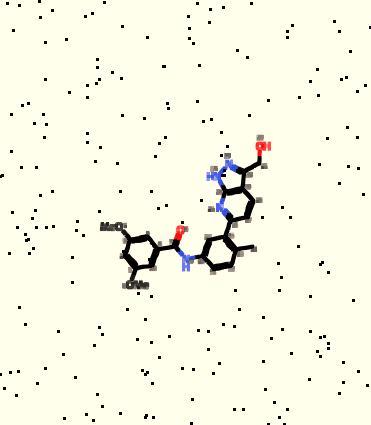 COc1cc(OC)cc(C(=O)Nc2ccc(C)c(-c3ccc4c(CO)n[nH]c4n3)c2)c1